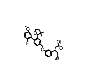 COc1ccc(F)c(-c2ccc(COc3cccc([C@@H](CC(=O)O)CC4CC4)c3)cc2[C@H]2OCCC2(C)C)c1